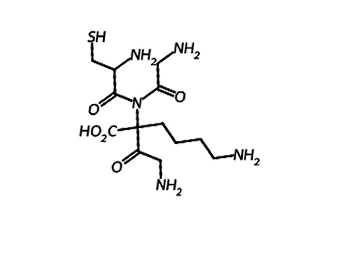 NCCCCC(C(=O)O)(C(=O)CN)N(C(=O)CN)C(=O)C(N)CS